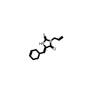 C=CCN1C(=O)/C(=C/C2CC=CCC2)NC1=S